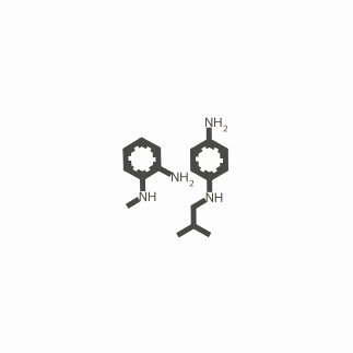 CC(C)CNc1ccc(N)cc1.CNc1ccccc1N